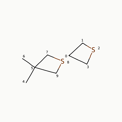 C1CSC1.CC1(C)CSC1